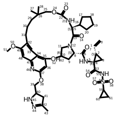 C=C[C@@H]1C[C@]1(NC(=O)[C@@H]1C[C@@H]2CN1C(=O)[C@H](C1CCCC1)NC(=O)OCC(C)(C)CCCc1cc3c(cc(OCC4CC(C)=NN4)nc3cc1OC)O2)C(=O)NS(=O)(=O)C1CC1